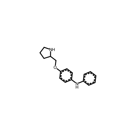 c1ccc(Nc2ccc(OCC3CCCN3)cc2)cc1